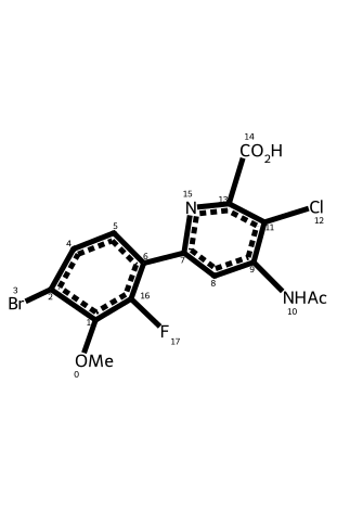 COc1c(Br)ccc(-c2cc(NC(C)=O)c(Cl)c(C(=O)O)n2)c1F